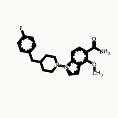 COc1c(C(N)=O)ccc2c1ccn2N1CCC(Cc2ccc(F)cc2)CC1